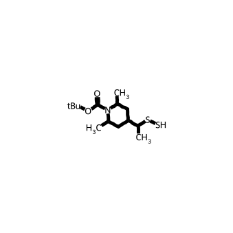 CC(SS)C1CC(C)N(C(=O)OC(C)(C)C)C(C)C1